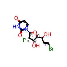 O=c1ccn([C@H]2O[C@@H](C(O)/C=C/Br)[C@H](O)[C@@H]2F)c(=O)[nH]1